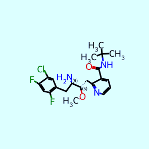 CO[C@@H](Cc1ncccc1C(=O)NC(C)(C)C)[C@H](N)Cc1cc(Cl)c(F)cc1F